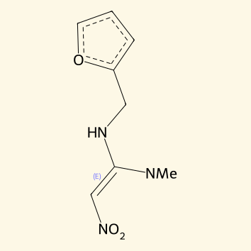 CN/C(=C\[N+](=O)[O-])NCc1ccco1